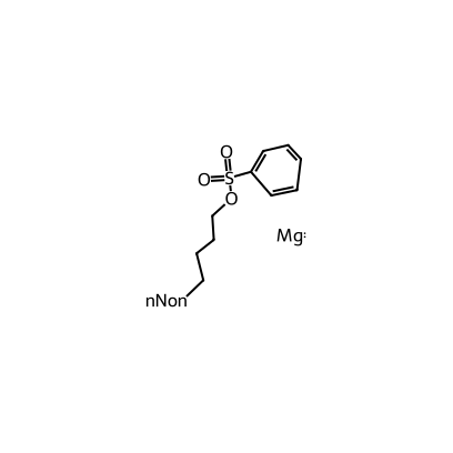 CCCCCCCCCCCCCOS(=O)(=O)c1ccccc1.[Mg]